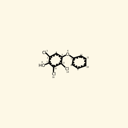 Oc1c(Cl)cc(Oc2ccccc2)c(Cl)c1Cl